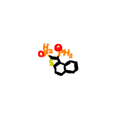 O=[PH2]c1sc2ccc3ccccc3c2c1[PH2]=O